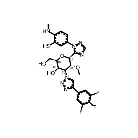 CNc1ccc(-n2ncnc2[C@@H]2O[C@H](CO)[C@H](O)[C@H](n3cc(-c4cc(F)c(F)c(F)c4)nn3)[C@H]2OC)cc1S